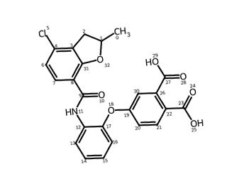 CC1Cc2c(Cl)ccc(C(=O)Nc3ccccc3Oc3ccc(C(=O)O)c(C(=O)O)c3)c2O1